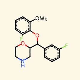 COc1cccc(F)c1OC(c1cccc(F)c1)C1CNCCO1